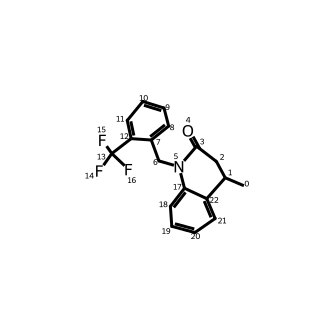 CC1CC(=O)N(Cc2ccccc2C(F)(F)F)c2ccccc21